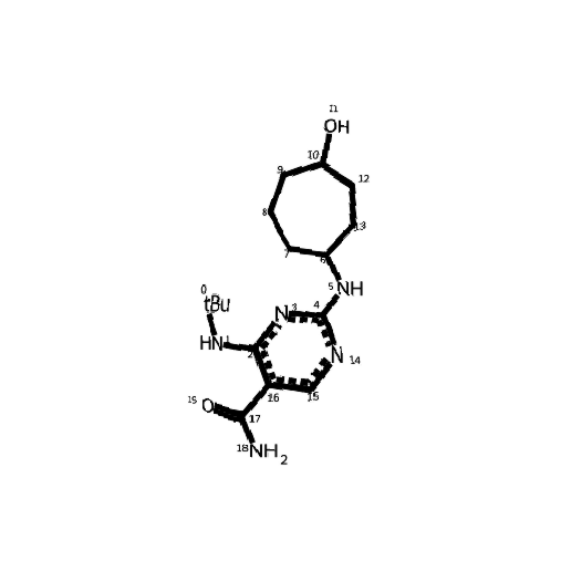 CC(C)(C)Nc1nc(NC2CCCC(O)CC2)ncc1C(N)=O